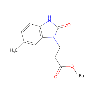 Cc1ccc2[nH]c(=O)n(CCC(=O)OC(C)(C)C)c2c1